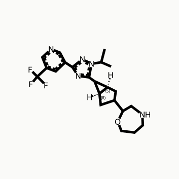 CC(C)n1nc(-c2cncc(C(F)(F)F)c2)nc1C1[C@H]2CC(C3CNCCCO3)C[C@@H]12